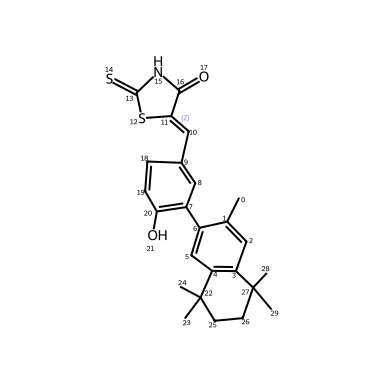 Cc1cc2c(cc1-c1cc(/C=C3\SC(=S)NC3=O)ccc1O)C(C)(C)CCC2(C)C